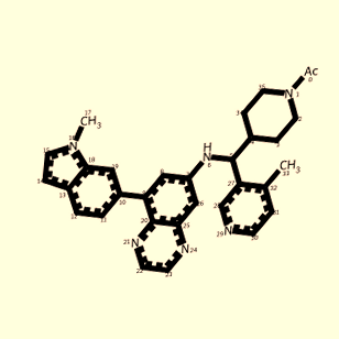 CC(=O)N1CCC(C(Nc2cc(-c3ccc4ccn(C)c4c3)c3nccnc3c2)c2cnccc2C)CC1